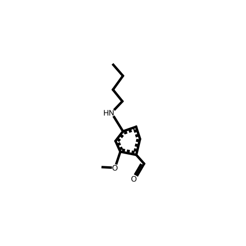 CCCCNc1ccc(C=O)c(OC)c1